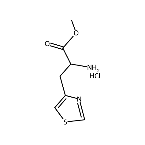 COC(=O)C(N)Cc1cscn1.Cl